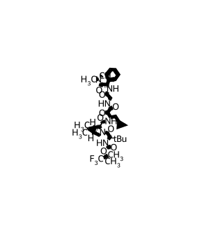 CN(C)C(=O)[C@@H](NC(=O)CNC(=O)C(=O)C(CC1CC1)NC(=O)[C@@H]1[C@@H]2[C@H](CN1C(=O)[C@@H](NC(=O)OC(C)(C)C(F)(F)F)C(C)(C)C)C2(C)C)c1ccccc1